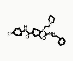 Cc1cc(C(=O)Nc2ccc(Cl)cc2)ccc1N(CCN1CCCC1)C(=O)NCCc1ccccc1